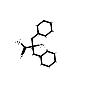 CC(=O)C(N)(CC1CCCCC1)CC1CCCCC1